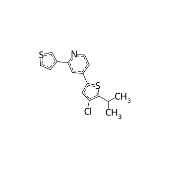 CC(C)c1sc(-c2ccnc(-c3ccsc3)c2)cc1Cl